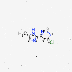 Cc1cnc(-c2cc(Cl)ncn2)[nH]1